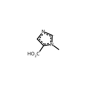 Cn1[c]ncc1C(=O)O